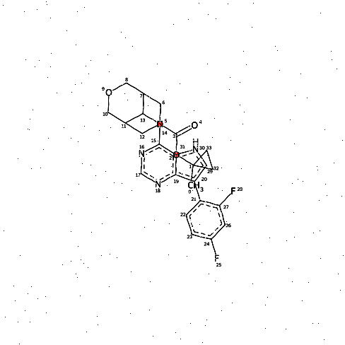 CC1(OC(=O)N2CC3COCC(C2)C3Oc2ncnc3c(-c4ccc(F)cc4F)c[nH]c23)CC1